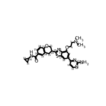 CN(C)CCOc1cc(-c2ccnc(N)n2)cc2sc(C3COc4ccc(C(=O)NC5CC5)cc4C3)nc12